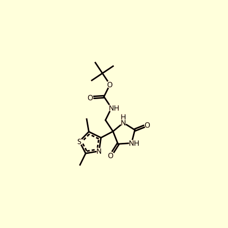 Cc1nc(C2(CNC(=O)OC(C)(C)C)NC(=O)NC2=O)c(C)s1